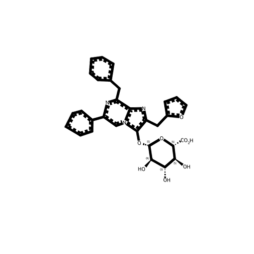 O=C(O)[C@H]1O[C@@H](Oc2c(Cc3ccco3)nc3c(Cc4ccccc4)nc(-c4ccccc4)cn23)[C@H](O)[C@@H](O)[C@@H]1O